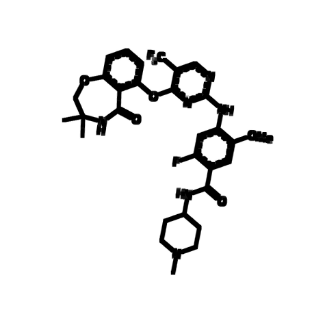 COc1cc(C(=O)NC2CCN(C)CC2)c(F)cc1Nc1ncc(C(F)(F)F)c(Oc2cccc3c2C(=O)NC(C)(C)CO3)n1